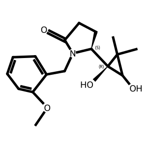 COc1ccccc1CN1C(=O)CC[C@H]1[C@@]1(O)C(O)C1(C)C